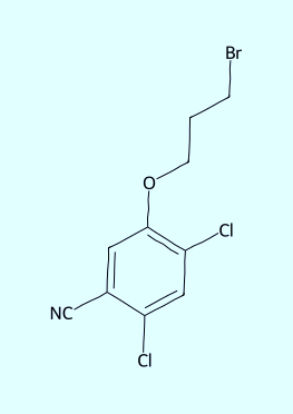 N#Cc1cc(OCCCBr)c(Cl)cc1Cl